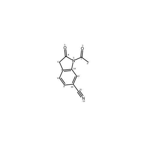 CC(=O)N1C(=O)Cc2ccc(C#N)cc21